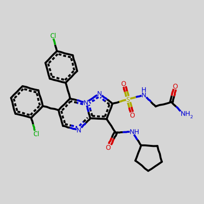 NC(=O)CNS(=O)(=O)c1nn2c(-c3ccc(Cl)cc3)c(-c3ccccc3Cl)cnc2c1C(=O)NC1CCCC1